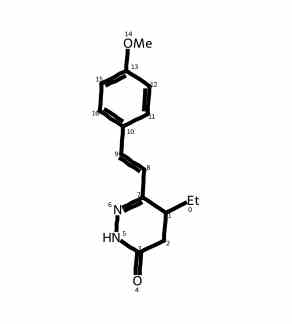 CCC1CC(=O)NN=C1C=Cc1ccc(OC)cc1